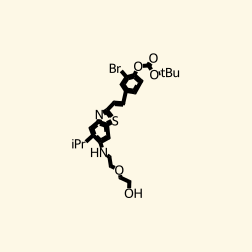 CC(C)c1cc2nc(C=Cc3ccc(OC(=O)OC(C)(C)C)c(Br)c3)sc2cc1NCCOCCO